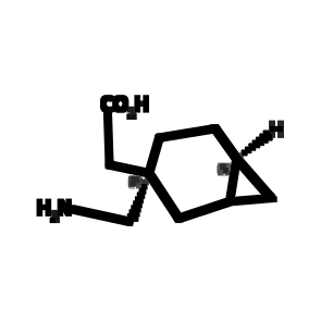 NC[C@]1(CC(=O)O)CC[C@H]2CC2C1